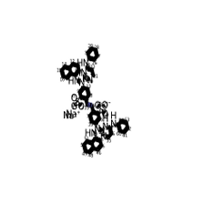 O=S(=O)([O-])c1cc(N(Nc2cccc3ccccc23)N2N=CC=C(Nc3ccccc3)N2)ccc1/C=C/c1ccc(N(Nc2cccc3ccccc23)N2N=CC=C(Nc3ccccc3)N2)cc1S(=O)(=O)[O-].[Na+].[Na+]